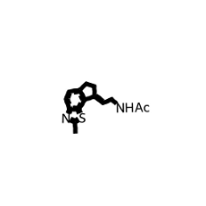 CC(=O)NCC=C1CCc2ccc3nc(C)sc3c21